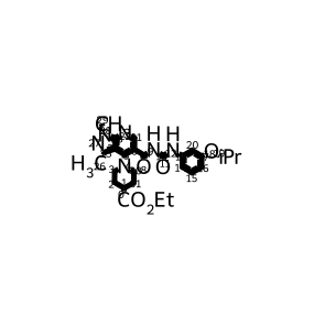 CCOC(=O)C1CCN(c2c(C(=O)NC(=O)Nc3cccc(OC(C)C)c3)cnc3c2c(C)nn3C)CC1